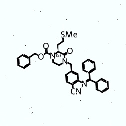 CSCC[C@H]1C(=O)N(Cc2ccc(C#N)c(N=C(c3ccccc3)c3ccccc3)c2)CCN1C(=O)OCc1ccccc1